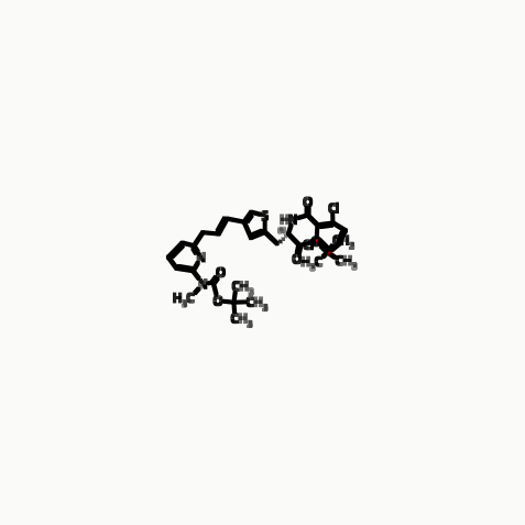 CN(C(=O)OC(C)(C)C)c1cccc(CC=Cc2csc(C[C@H](NC(=O)c3c(Cl)cccc3Cl)C(=O)OC(C)(C)C)c2)n1